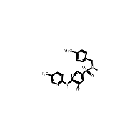 COc1ccc(CN(C)S(=O)(=O)c2cnc(Nc3ccc(C(F)(F)F)cn3)c(Br)c2)cc1